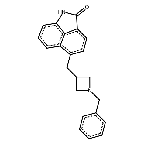 O=C1Nc2cccc3c(CC4CN(Cc5ccccc5)C4)ccc1c23